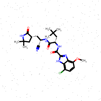 COc1ccc(Cl)c2[nH]c(C(=O)N[C@@H](CC(C)(C)C)C(=O)N[C@H](C#N)C[C@@H]3CC(C)(C)NC3=O)nc12